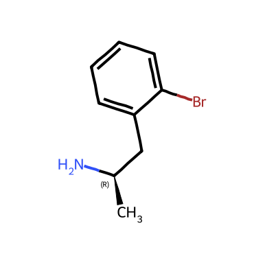 C[C@@H](N)Cc1ccccc1Br